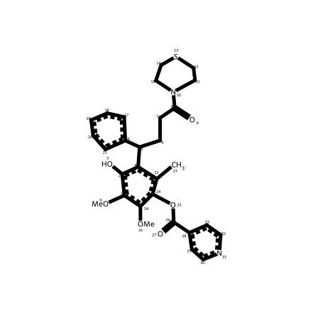 COc1c(O)c(C(CCC(=O)N2CCSCC2)c2ccccc2)c(C)c(OC(=O)c2ccncc2)c1OC